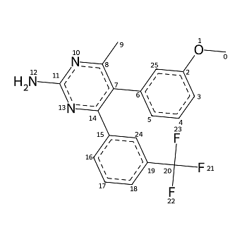 COc1cccc(-c2c(C)nc(N)nc2-c2cccc(C(F)(F)F)c2)c1